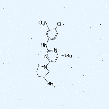 CCCCc1cc(N2CCCC(N)C2)nc(Nc2ccc(Cl)c([N+](=O)[O-])c2)n1